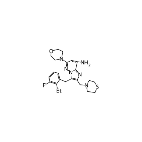 CCc1c(F)cccc1Cc1c(CN2CCSCC2)nc2c(N)cc(N3CCOCC3)nn12